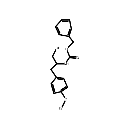 CCOc1ccc(CC(CO)NC(=O)OCc2ccccc2)cc1